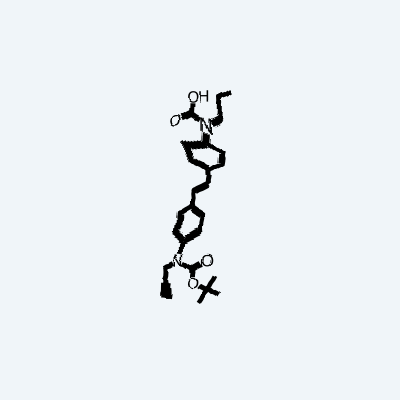 C#CCN(C(=O)OC(C)(C)C)c1ccc(C=Cc2ccc(N(CCC)C(=O)O)cc2)cc1